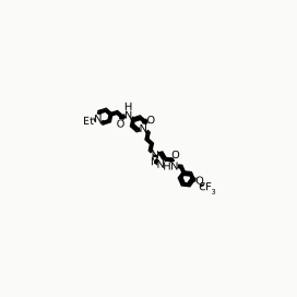 CCN1CCC(CC(=O)Nc2ccn(CCCCn3cc(C(=O)NCc4cccc(OC(F)(F)F)c4)nn3)c(=O)c2)CC1